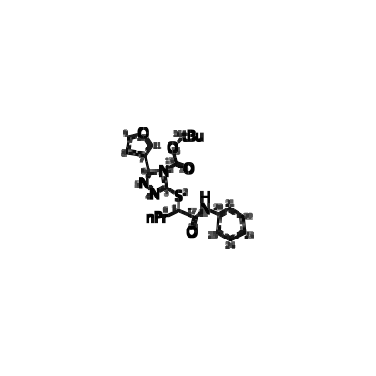 CCCC(Sc1nnc(-c2ccoc2)n1C(=O)OC(C)(C)C)C(=O)Nc1ccccc1